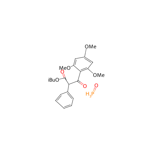 COc1cc(OC)c(C(=O)C(C(=O)OCC(C)C)c2ccccc2)c(OC)c1.O=[PH3]